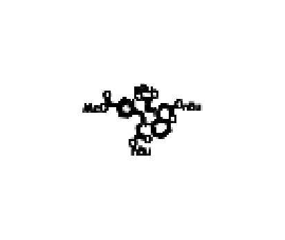 CCCCOC(=O)CN(CC(=O)OCCCC)C1CCCC[C@@H]1N(CC(=O)OCCCC)Cc1ccc(C(=O)OC)cn1